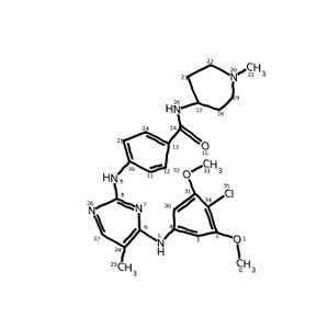 COc1cc(Nc2nc(Nc3ccc(C(=O)NC4CCN(C)CC4)cc3)ncc2C)cc(OC)c1Cl